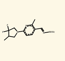 CC(=O)N/N=C/c1ccc(N2CC(C)C(F)(F)C2)nc1C